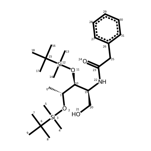 C[C@@H](O[Si](C)(C)C(C)(C)C)[C@@H](O[Si](C)(C)C(C)(C)C)[C@H](CO)NC(=O)Cc1ccccc1